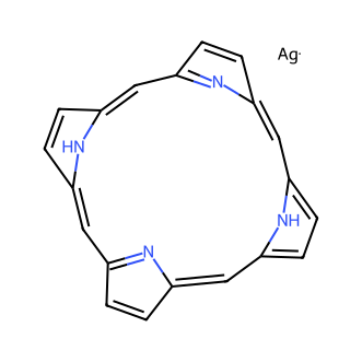 C1=Cc2cc3ccc(cc4nc(cc5ccc(cc1n2)[nH]5)C=C4)[nH]3.[Ag]